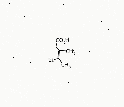 CCC(C)=C(C)CC(=O)O